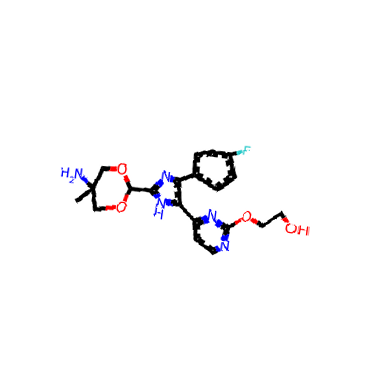 CC1(N)COC(c2nc(-c3ccc(F)cc3)c(-c3ccnc(OCCO)n3)[nH]2)OC1